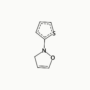 C1=CON(c2cccs2)C1